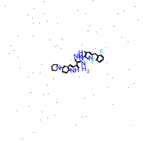 C=C(/C(C=N)=C(\N)Nc1cnc(Cc2c(F)cccc2F)cc1C)c1cc2cc(N3CCCCC3)ccc2[nH]1